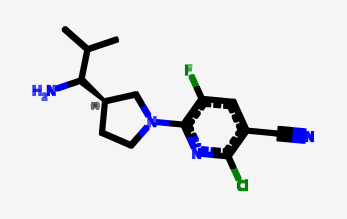 CC(C)C(N)[C@@H]1CCN(c2nc(Cl)c(C#N)cc2F)C1